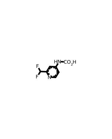 O=C(O)Nc1ccnc(C(F)F)c1